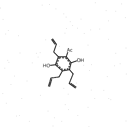 C=CCc1c(O)c(CC=C)c(C(C)=O)c(O)c1CC=C